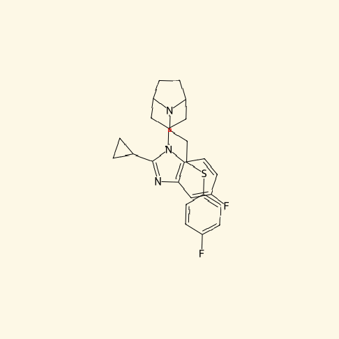 Fc1ccc(SCCCN2C3CCC2CC(n2c(C4CC4)nc4cc(F)ccc42)C3)cc1